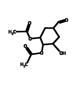 CC(=O)OC1CC(C=O)CC(O)C1OC(C)=O